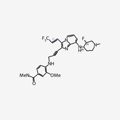 CNC(=O)c1ccc(NCC#Cc2nc3c(N[C@@H]4CCN(C)C[C@@H]4F)cccn3c2/C=C/C(F)(F)F)c(OC)c1